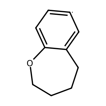 [c]1ccc2c(c1)CCCCO2